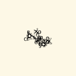 CC(C)(C)C(=O)OCOP(=O)(OCOC(=O)C(C)(C)C)C(C(=O)NC=Cc1cc(F)cc(Cl)c1)c1csc2ccc(Cl)cc12